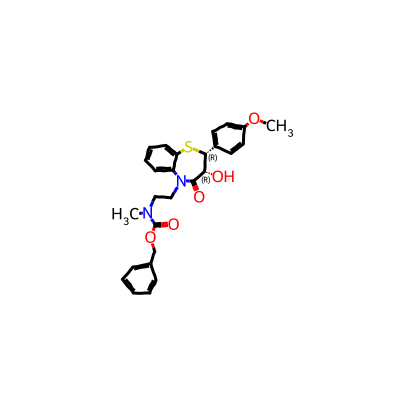 COc1ccc([C@H]2Sc3ccccc3N(CCN(C)C(=O)OCc3ccccc3)C(=O)[C@H]2O)cc1